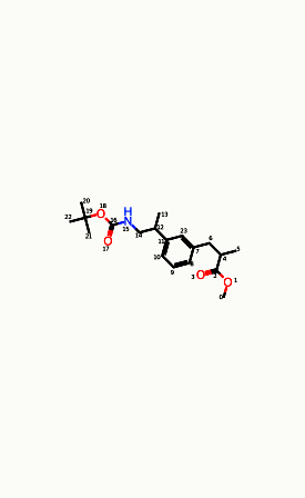 COC(=O)C(C)Cc1cccc(C(C)CNC(=O)OC(C)(C)C)c1